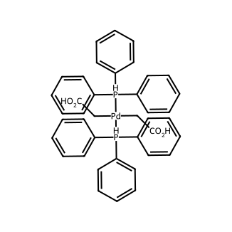 O=C(O)[CH2][Pd]([CH2]C(=O)O)([PH](c1ccccc1)(c1ccccc1)c1ccccc1)[PH](c1ccccc1)(c1ccccc1)c1ccccc1